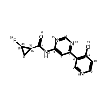 O=C(Nc1cc(-c2cnccc2Cl)ncn1)[C@H]1C[C@H]1F